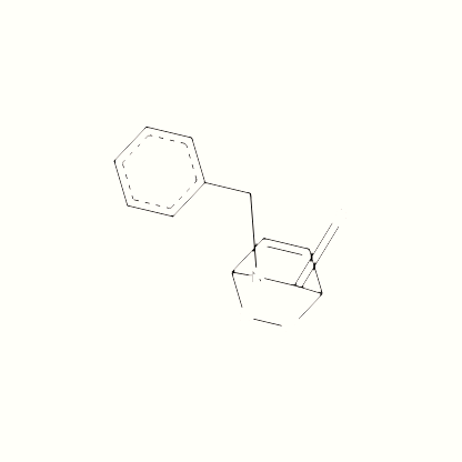 O=C1C2C=CC(OO2)N1Cc1ccccc1